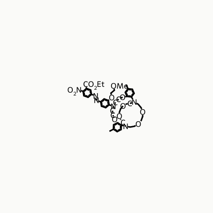 CCOC(=O)c1cc(/N=N/c2ccc(N3CCOc4cc(C)ccc4N4CCOCCOCCN(CCOCCOCC4)c4ccc(C)cc4OCC3)c(OCCOC)c2)ccc1[N+](=O)[O-]